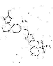 CCc1cc2c(s1)CCO[C@@]21CCN(Cc2cn(CC3(S(C)(=O)=O)CCOCC3)nn2)[C@@H](C)C1